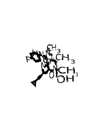 CC(CO)N1C[C@H](C)[C@H](CN(C)C(=O)Nc2ccc(F)cc2)Oc2ncc(C#CC3CC3)cc2C1=O